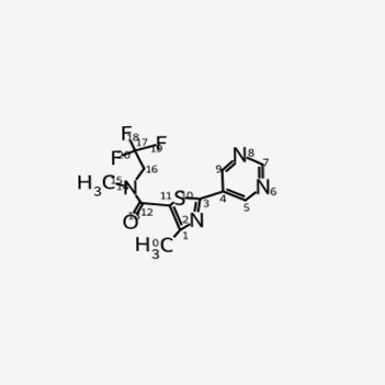 Cc1nc(-c2cncnc2)sc1C(=O)N(C)CC(F)(F)F